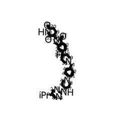 CC(C)c1cnc(NC2CCN(c3ccc(CN4CCC(F)(c5ccc6c(c5)CN(C5CCC(=O)NC5=O)C6=O)CC4)cc3)CC2)nc1